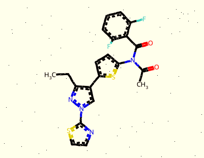 CCc1nn(-c2nccs2)cc1-c1ccc(N(C(C)=O)C(=O)c2c(F)cccc2F)s1